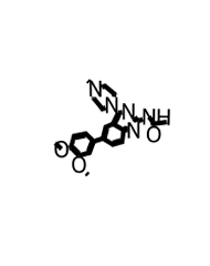 COc1ccc(-c2ccc3nc(NC(C)=O)nc(N4CCN(C)CC4)c3c2)cc1OC